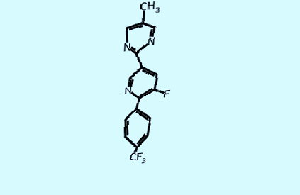 Cc1cnc(-c2cnc(-c3ccc(C(F)(F)F)cc3)c(F)c2)nc1